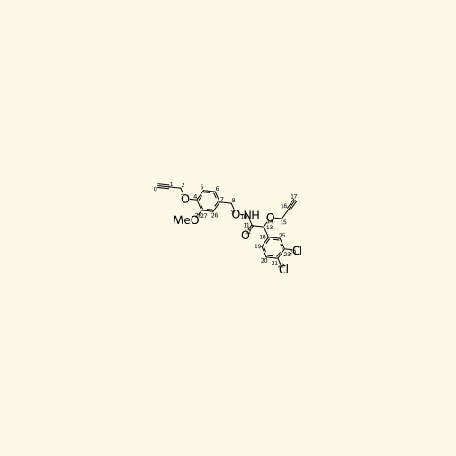 C#CCOc1ccc(CONC(=O)C(OCC#C)c2ccc(Cl)c(Cl)c2)cc1OC